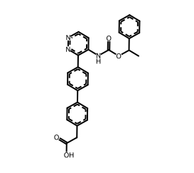 CC(OC(=O)Nc1ccnnc1-c1ccc(-c2ccc(CC(=O)O)cc2)cc1)c1ccccc1